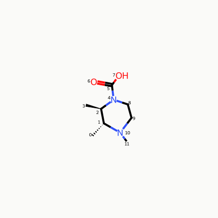 C[C@@H]1[C@@H](C)N(C(=O)O)CCN1C